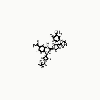 Cc1ccc([C@]2(c3ncns3)CCN(C(=O)Nc3cc(C(F)F)ccc3OC3CN(CC(F)(F)F)C3)C2)cc1F